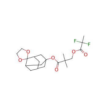 CC(F)(F)C(=O)OCC(C)(C)C(=O)OC12CC3CC(C1)C1(OCCO1)C(C3)C2